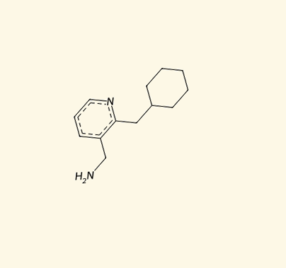 NCc1cccnc1CC1CCCCC1